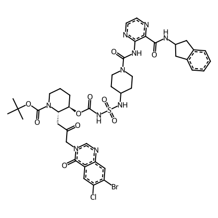 CC(C)(C)OC(=O)N1CCC[C@@H](OC(=O)NS(=O)(=O)NC2CCN(C(=O)Nc3nccnc3C(=O)NC3Cc4ccccc4C3)CC2)[C@@H]1CC(=O)Cn1cnc2cc(Br)c(Cl)cc2c1=O